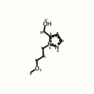 COCCCn1nccc1CO